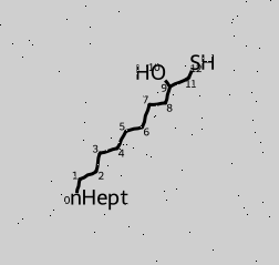 CCCCCCCCCCCCCCCC(O)CS